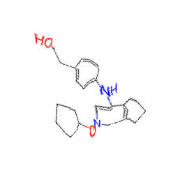 OCCc1ccc(NC2=CN(OC3CCCC3)CC3=C2CCC3)cc1